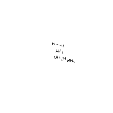 [AlH3].[AlH3].[H][H].[LiH].[LiH]